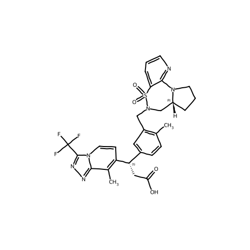 Cc1ccc([C@H](CC(=O)O)c2ccn3c(C(F)(F)F)nnc3c2C)cc1CN1C[C@H]2CCCN2c2ncccc2S1(=O)=O